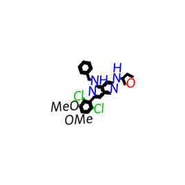 COc1cc(OC)c(Cl)c(-c2cc3cnc(NC4CCOC4)cc3c(NCc3ccccc3)n2)c1Cl